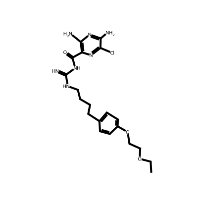 CCOCCOc1ccc(CCCCNC(=N)NC(=O)c2nc(Cl)c(N)nc2N)cc1